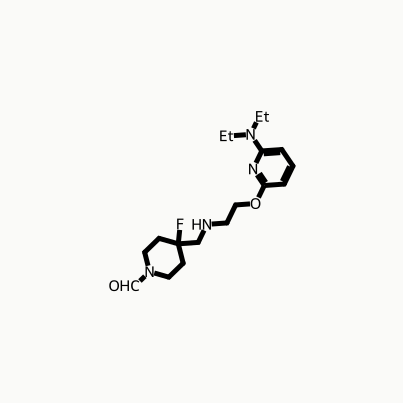 CCN(CC)c1cccc(OCCNCC2(F)CCN(C=O)CC2)n1